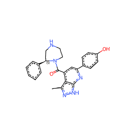 Cc1n[nH]c2nc(-c3ccc(O)cc3)cc(C(=O)N3CCNC[C@@H]3c3ccccc3)c12